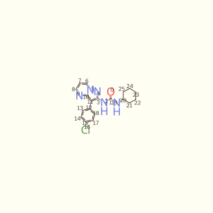 O=C(Nc1nn2cccnc2c1-c1ccc(Cl)cc1)NC1CCCCC1